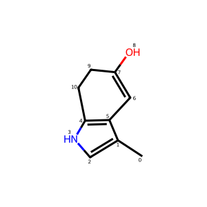 Cc1c[nH]c2c1C=C(O)CC2